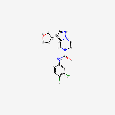 O=C(Nc1ccc(F)c(Cl)c1)N1CCn2ncc(C3CCOC3)c2C1